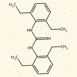 CCc1cccc(CC)c1NC(=N)Nc1c(CC)cccc1CC